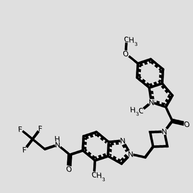 COc1ccc2cc(C(=O)N3CC(Cn4cc5c(C)c(C(=O)NCC(F)(F)F)ccc5n4)C3)n(C)c2c1